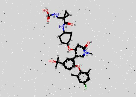 Cc1cc(F)cc(C)c1Oc1ccc(C(C)(C)O)cc1-c1cn(C)c(=O)cc1OC1CCC(NC(=O)C2(CNC(=O)O)CC2)CC1